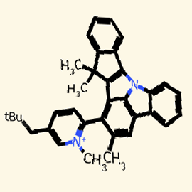 Cc1cc2c3ccccc3n3c4c(c(c1-c1ccc(CC(C)(C)C)c[n+]1C)c23)C(C)(C)c1ccccc1-4